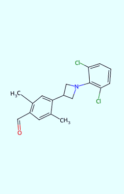 Cc1cc(C2CN(c3c(Cl)cccc3Cl)C2)c(C)cc1C=O